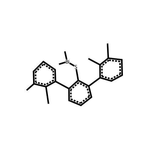 Cc1cccc(-c2cccc(-c3cccc(C)c3C)c2[S][Bi]([CH3])[CH3])c1C